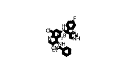 BC(Nc1cc(Cl)c2ncc(C#N)c(N[C@H](CC)c3ccccc3)c2c1)(c1ccc(F)cc1)c1c[nH]nn1